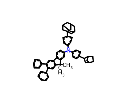 CC1(C)c2cc(N(c3ccc(C4CC5CCC4C5)cc3)c3ccc(C45CC6CC(CC(C6)C4)C5)cc3)ccc2-c2cc(-c3ccccc3)c(-c3ccccc3)cc21